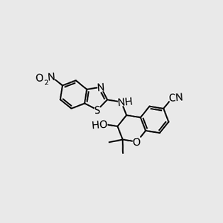 CC1(C)Oc2ccc(C#N)cc2C(Nc2nc3cc([N+](=O)[O-])ccc3s2)C1O